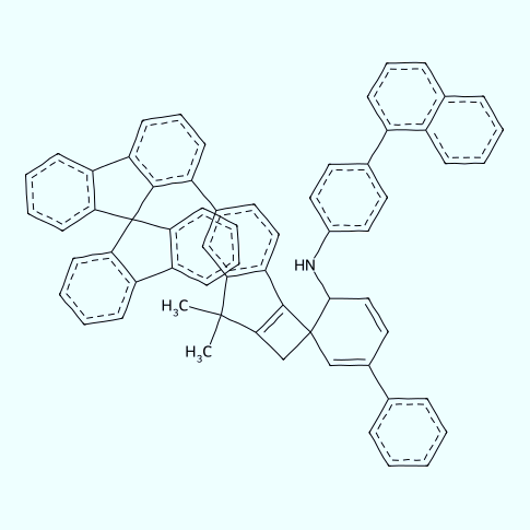 CC1(C)C2=C(c3ccc(-c4cccc5c4C4(c6ccccc6-c6ccccc64)c4ccccc4-5)cc31)C1(C=C(c3ccccc3)C=CC1Nc1ccc(-c3cccc4ccccc34)cc1)C2